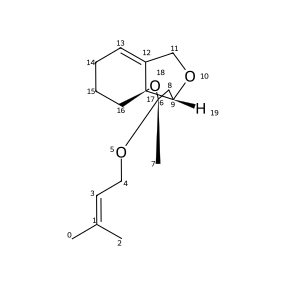 CC(C)=CCO[C@@]1(C)C[C@@H]2OCC3=CCCC[C@]32O1